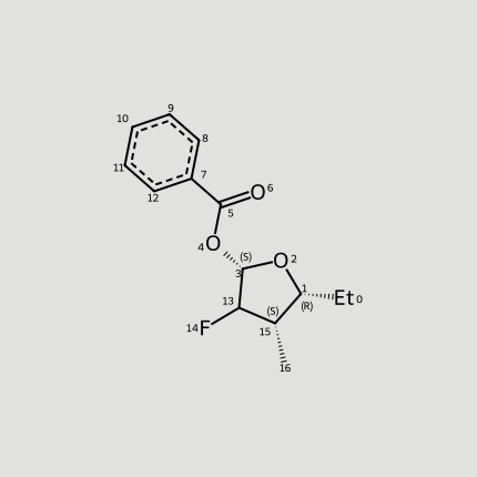 CC[C@H]1O[C@@H](OC(=O)c2ccccc2)C(F)[C@H]1C